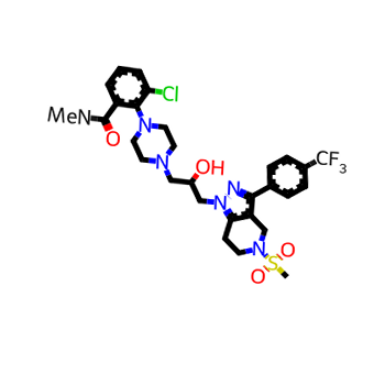 CNC(=O)c1cccc(Cl)c1N1CCN(CC(O)Cn2nc(-c3ccc(C(F)(F)F)cc3)c3c2CCN(S(C)(=O)=O)C3)CC1